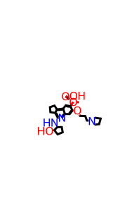 COc1cc2c3c(c(N[C@H]4CCC[C@@H]4O)nc2cc1OCCCN1CCCC1)CCC3.O=CO